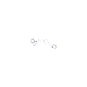 Cn1nc(C(=O)CCC2CCN(CCc3ccccc3)CC2)c2ccccc21